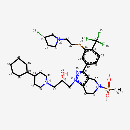 CS(=O)(=O)N1CCc2c(c(-c3ccc(C(F)(F)F)c(SCCN4CC[C@H](F)C4)c3)nn2C[C@@H](O)CN2CCC(C3CCCCC3)CC2)C1